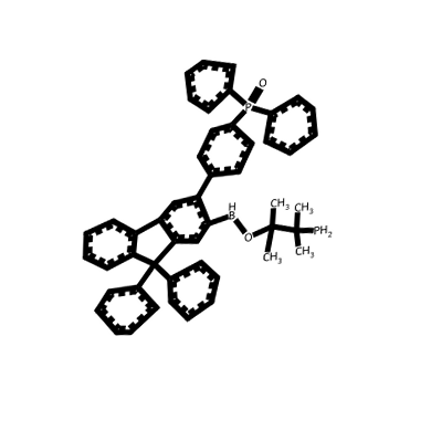 CC(C)(P)C(C)(C)OBc1cc2c(cc1-c1ccc(P(=O)(c3ccccc3)c3ccccc3)cc1)-c1ccccc1C2(c1ccccc1)c1ccccc1